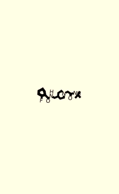 CC(C)(C)NC(=O)CN1CCC(CNC(=O)c2ccccc2F)CC1